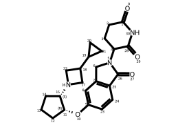 O=C1CCC(N2Cc3cc(O[C@@H]4CCC[C@@H]4N4CC(C5CC5)C4)ccc3C2=O)C(=O)N1